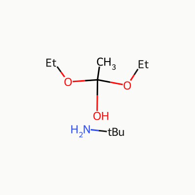 CC(C)(C)N.CCOC(C)(O)OCC